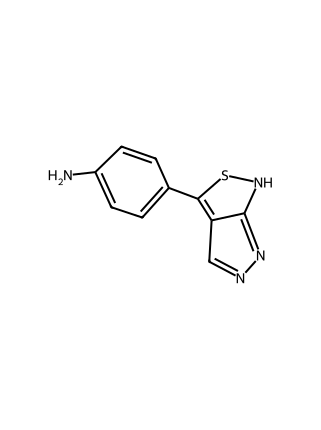 Nc1ccc(-c2s[nH]c3nncc2-3)cc1